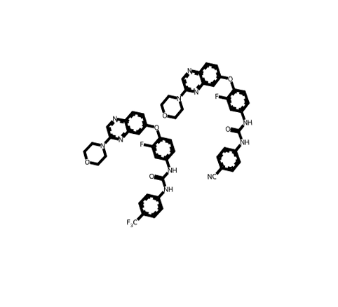 N#Cc1ccc(NC(=O)Nc2ccc(Oc3ccc4ncc(N5CCOCC5)nc4c3)c(F)c2)cc1.O=C(Nc1ccc(C(F)(F)F)cc1)Nc1ccc(Oc2ccc3ncc(N4CCOCC4)nc3c2)c(F)c1